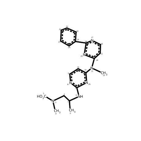 CC(CN(C)C(=O)O)Nc1nccc(N(C)c2ccnc(-c3ccccc3)n2)n1